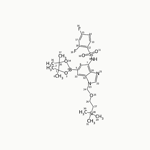 CC1(C)OB(c2cc(NS(=O)(=O)c3ccc(F)cc3F)c3ncn(COCC[Si](C)(C)C)c3c2)OC1(C)C